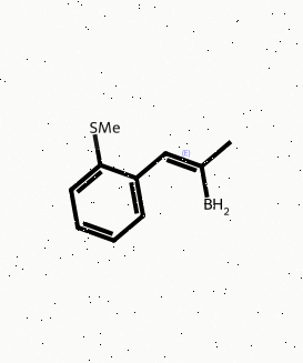 B/C(C)=C\c1ccccc1SC